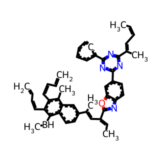 C=C/C=C\c1c(/C=C\C=C)c(BC)c2ccc(/C(C)=C/C(=C\C)c3nc4ccc(-c5nc(/C(C)=C/C=C\C)nc(-c6ccccc6)n5)cc4o3)cc2c1C